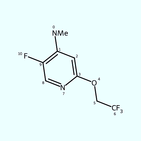 CNc1cc(OCC(F)(F)F)ncc1F